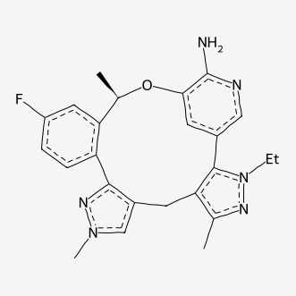 CCn1nc(C)c2c1-c1cnc(N)c(c1)O[C@H](C)c1cc(F)ccc1-c1nn(C)cc1C2